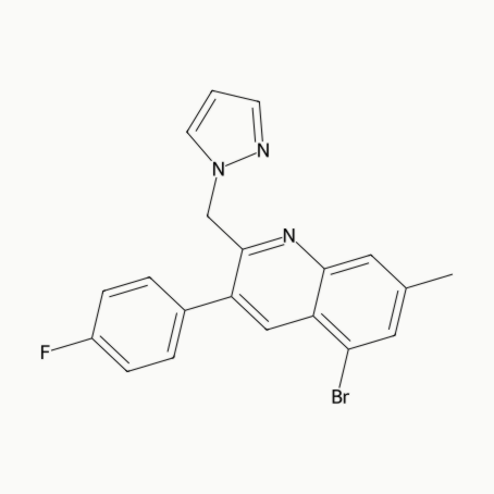 Cc1cc(Br)c2cc(-c3ccc(F)cc3)c(Cn3cccn3)nc2c1